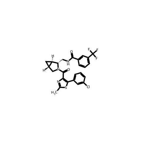 Cc1nc(C(=O)N2C[C@@H]3C[C@H]3[C@@H]2CNC(=O)c2cccc(C(F)(F)F)c2)c(-c2cccc(Cl)c2)s1